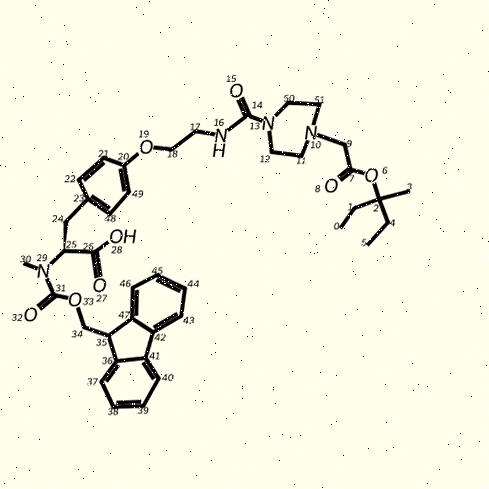 CCC(C)(CC)OC(=O)CN1CCN(C(=O)NCCOc2ccc(C[C@@H](C(=O)O)N(C)C(=O)OCC3c4ccccc4-c4ccccc43)cc2)CC1